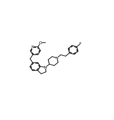 COc1ccc(Cc2ccc3c(c2)N(C2CCN(CCc4ccc(F)cc4)CC2)CC3)cn1